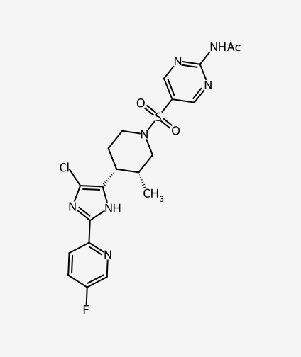 CC(=O)Nc1ncc(S(=O)(=O)N2CC[C@@H](c3[nH]c(-c4ccc(F)cn4)nc3Cl)[C@@H](C)C2)cn1